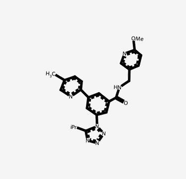 COc1ccc(CNC(=O)c2cc(-c3ccc(C)cn3)cc(-n3nnnc3C(C)C)c2)cn1